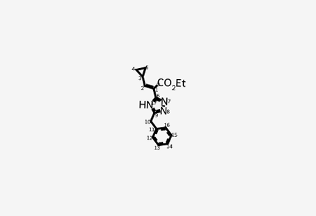 CCOC(=O)C(=CC1CC1)c1nnc(Cc2ccccc2)[nH]1